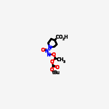 CC(O/N=[N+](/[O-])N1CCC(C(=O)O)CC1)OC(=O)OC(C)(C)C